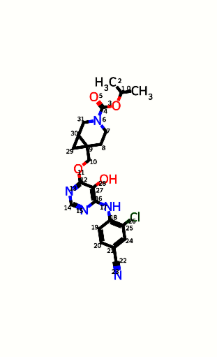 CC(C)OC(=O)N1CCC2(COc3ncnc(Nc4ccc(C#N)cc4Cl)c3O)CC2C1